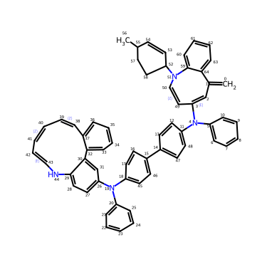 C=C1/C=C(N(c2ccccc2)c2ccc(-c3ccc(N(c4ccccc4)c4ccc5c(c4)-c4ccccc4\C=C/C=C\C=C\N5)cc3)cc2)\C=C/N(C2C=CC(C)CC2)c2ccccc21